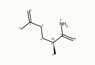 C=C(C)CC[C@H](C)C(=C)N